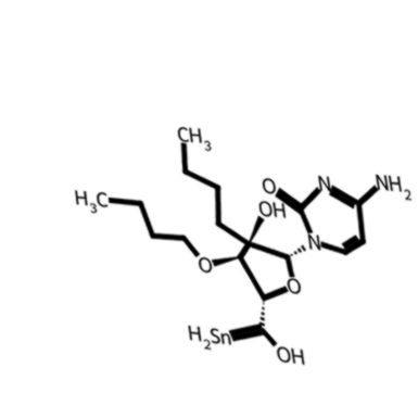 CCCCO[C@@H]1[C@@H]([C](O)=[SnH2])O[C@@H](n2ccc(N)nc2=O)[C@@]1(O)CCCC